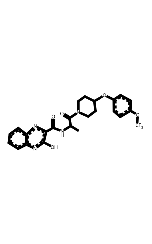 CC(NC(=O)c1nc2ccccc2nc1O)C(=O)N1CCC(Oc2ccc(OC(F)(F)F)cc2)CC1